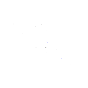 CCCn1c(C)c([C@@H](C)[C@H]2NC(=O)[C@@H](Cc3ccccn3)NC2=O)c2cc(Cl)ccc21